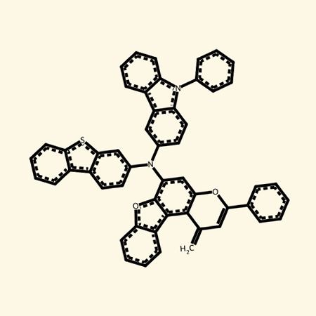 C=C1C=C(c2ccccc2)Oc2cc(N(c3ccc4c(c3)sc3ccccc34)c3ccc4c(c3)c3ccccc3n4-c3ccccc3)c3oc4ccccc4c3c21